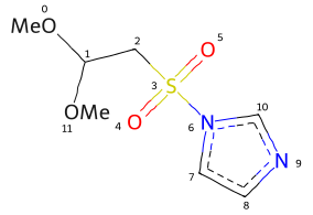 COC(CS(=O)(=O)n1ccnc1)OC